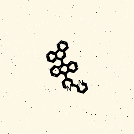 c1ccc(-c2cc(-c3c4ccccc4c(-c4cc5ccccc5c5ccccc45)c4ccccc34)ccn2)nc1